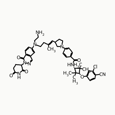 C/C(=C\C1CCN(c2ccc(C(=O)N[C@H]3C(C)(C)[C@H](Oc4ccc(C#N)c(Cl)c4)C3(C)C)cc2)C1)CCN(CCN)c1ccc2c(=O)n(C3CCC(=O)NC3=O)ncc2c1